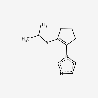 CC(C)SC1=C(n2ccnc2)CCC1